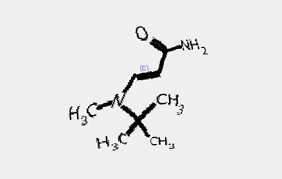 CN(/C=C/C(N)=O)C(C)(C)C